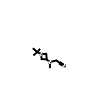 CN(CC#N)C1CN(C(C)(C)C)C1